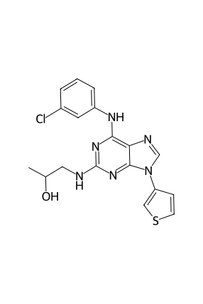 CC(O)CNc1nc(Nc2cccc(Cl)c2)c2ncn(-c3ccsc3)c2n1